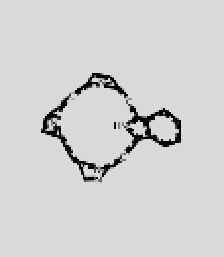 C1=Cc2cc3[nH]c(cc4nc(cc5ccc(cc1n2)[nH]5)C=N4)c1ccccc31